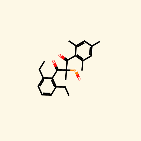 CCc1cccc(CC)c1C(=O)C(C)(P=O)C(=O)c1c(C)cc(C)cc1C